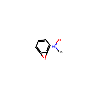 CCCNO.c1ccc2c(c1)O2